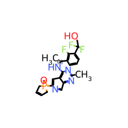 Cc1nc(N[C@H](C)c2cccc(C(F)(F)CO)c2F)c2cc(P3(=O)CC=CC3)ncc2n1